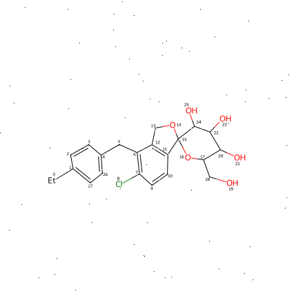 CCc1ccc(Cc2c(Cl)ccc3c2COC32OC(CO)C(O)C(O)C2O)cc1